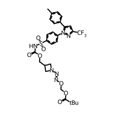 Cc1ccc(-c2cc(C(F)(F)F)nn2-c2ccc(S(=O)(=O)NC(=O)OCC3CN(N=NOCOC(=O)C(C)(C)C)C3)cc2)cc1